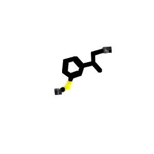 CCSc1cccc(C(C)CC#N)c1